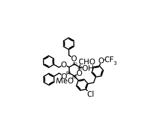 CO[C@@]1(c2ccc(Cl)c(Cc3ccc(OC(F)(F)F)cc3)c2)O[C@](O)(C=O)[C@@H](OCc2ccccc2)C(OCc2ccccc2)[C@H]1OCc1ccccc1